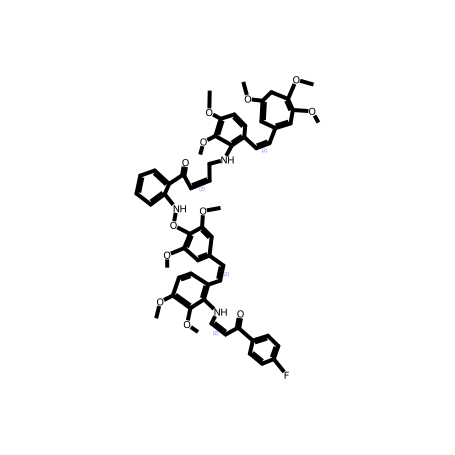 COC1=CC(/C=C\c2ccc(OC)c(OC)c2NC/C=C\C(=O)c2ccccc2NOc2c(OC)cc(/C=C\c3ccc(OC)c(OC)c3N/C=C\C(=O)c3ccc(F)cc3)cc2OC)=CC(OC)=C(OC)C1